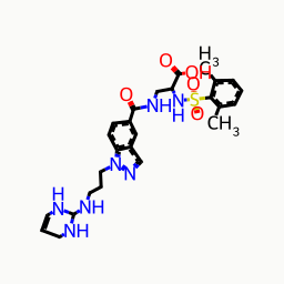 Cc1cccc(C)c1S(=O)(=O)NC(CNC(=O)c1ccc2c(cnn2CCCNC2NC=CCN2)c1)C(=O)O